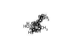 Cc1ccc(C(=N)N)cc1Oc1nc(Oc2cccc(C(=O)N(C)C)c2)c2nc(C)n(C(Cc3ccc(S)cc3)C(=O)O)c2n1